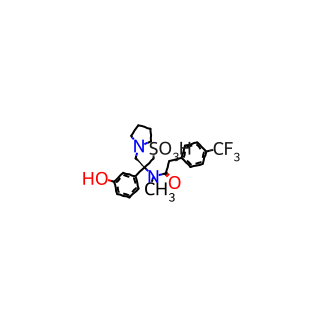 CN(C(=O)Cc1ccc(C(F)(F)F)cc1)[C@@](CN1CCCC1)(CS(=O)(=O)O)c1cccc(O)c1